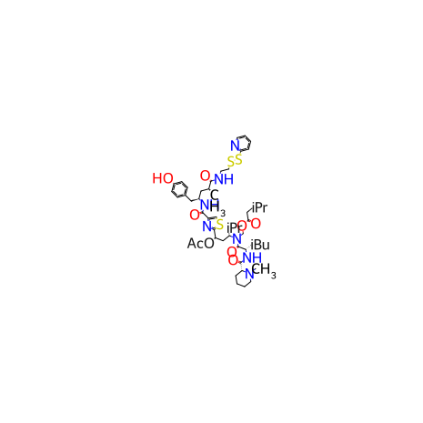 CCC(C)[C@H](NC(=O)[C@H]1CCCCN1C)C(=O)N(COC(=O)CC(C)C)[C@H](C[C@@H](OC(C)=O)c1nc(C(=O)N[C@@H](Cc2ccc(O)cc2)C[C@H](C)C(=O)NCCSSc2ccccn2)cs1)C(C)C